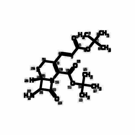 CC(C)(C)OC(=O)C=CC1=C(C(=O)OC(C)(C)C)N2C(=O)C(N)[C@@H]2SC1